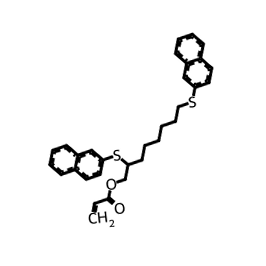 C=CC(=O)OCC(CCCCCCSc1ccc2ccccc2c1)Sc1ccc2ccccc2c1